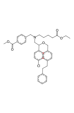 CCOC(=O)CCCCN(Cc1ccc(C(=O)OC)cc1)CC(OCc1ccc(CCc2ccccc2)cc1)c1ccc(Cl)cc1